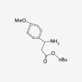 CCCCOC(=O)CC(N)c1ccc(OC)cc1